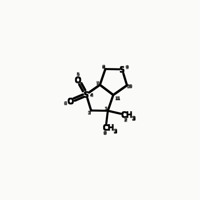 CC1(C)CS(=O)(=O)C2CSCC21